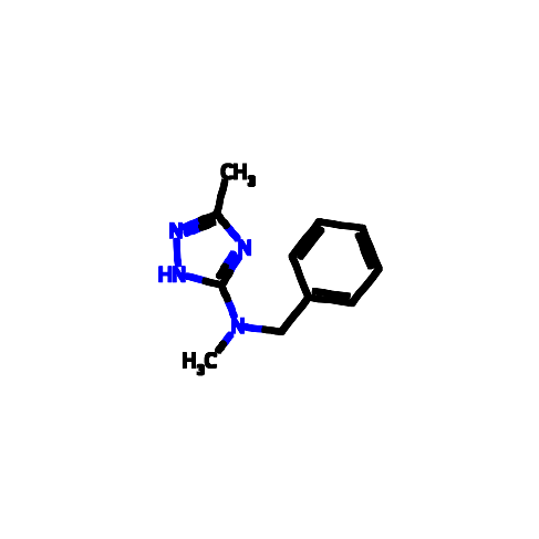 Cc1n[nH]c(N(C)Cc2ccccc2)n1